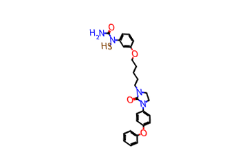 NC(=O)N(S)c1cccc(OCCCCCN2CCN(c3ccc(Oc4ccccc4)cc3)C2=O)c1